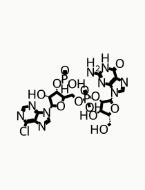 Nc1nc2c(ncn2[C@@H]2O[C@H](CO)[C@@H](O)[C@H]2OP(=O)(O)OCC2O[C@@H](n3cnc4c(Cl)ncnc43)[C@H](O)[C@@H]2O[PH](=O)O)c(=O)[nH]1